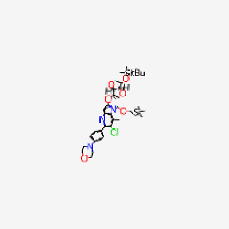 Cc1c(Cl)c(-c2ccc(N3CCOCC3)cc2)nc2cc(O[C@@H]3CO[C@@H]4C(O[Si](C)(C)C(C)(C)C)CO[C@@H]43)n(COCC[Si](C)(C)C)c12